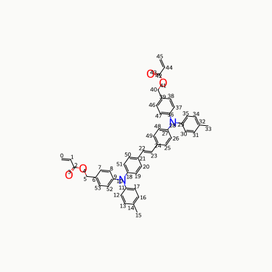 C=CC(=O)OCc1ccc(N(c2ccc(C)cc2)c2ccc(C=Cc3ccc(N(c4ccc(C)cc4)c4ccc(COC(=O)C=C)cc4)cc3)cc2)cc1